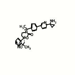 C[C@@H](c1ccc(-c2ccc(C3(N)CC3)nc2)cc1)N1CC[C@](CC(C)(C)O)(c2ccccc2)OC1=O